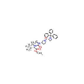 COC(=O)[C@H](C(C)C)N(C)C(=O)N(C)[C@H]1CCN(C(=O)[C@H]2CCN2C(c2ccccc2)(c2ccccc2)c2ccccc2)C1